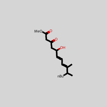 CCCCC(C)C(C)=CC=CC(O)CC(=O)CC(=O)OC